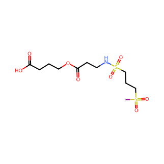 O=C(O)CCCOC(=O)CCNS(=O)(=O)CCCS(=O)(=O)I